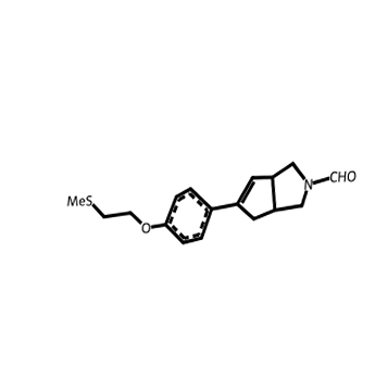 CSCCOc1ccc(C2=CC3CN(C=O)CC3C2)cc1